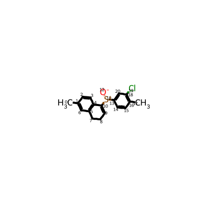 Cc1ccc2c(c1)CCC=C2[S+]([O-])c1ccc(C)c(Cl)c1